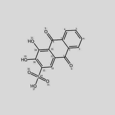 O=C1c2ccccc2C(=O)c2c1cc(S(=O)(=O)O)c(O)c2O